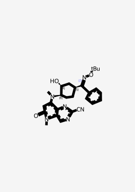 CN(c1cc(=O)n(C)c2cnc(C#N)nc12)[C@@H]1CC[C@H](/C(=N/OC(C)(C)C)c2ccccc2)C[C@H]1O